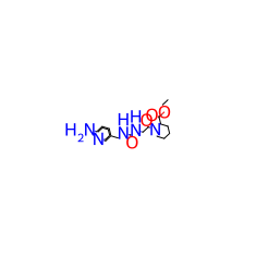 CCOC(=O)C1CCCCN1C(=O)CNC(=O)NCc1ccc(N)nc1